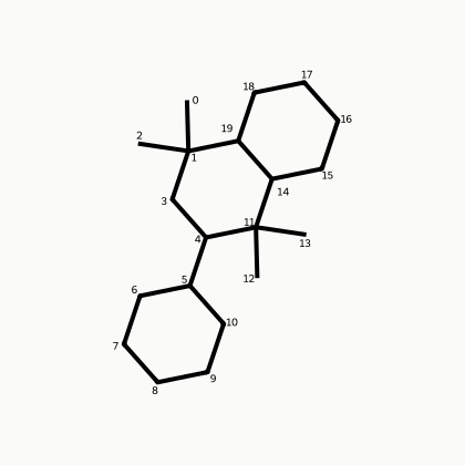 CC1(C)CC(C2CCCCC2)C(C)(C)C2CCCCC21